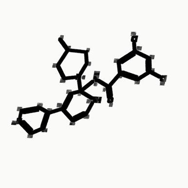 CC1CCN(C2(NC(=O)c3cc(Cl)cc(Cl)c3)C=C(c3ccncc3)C=CN2)CC1